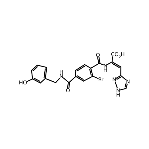 O=C(O)/C(=C/c1nc[nH]n1)NC(=O)c1ccc(C(=O)NCc2cccc(O)c2)cc1Br